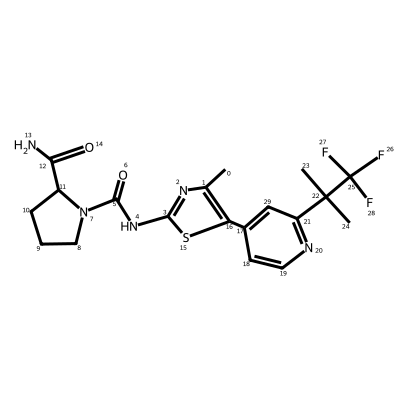 Cc1nc(NC(=O)N2CCCC2C(N)=O)sc1-c1ccnc(C(C)(C)C(F)(F)F)c1